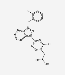 O=C(O)Cc1cnc(-c2nn(Cc3ccccc3F)c3ncccc23)nc1Cl